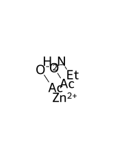 CC(=O)[O-].CC(=O)[O-].CCN.[Zn+2]